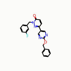 O=c1ccc(-c2cnc(OCc3ccccc3)nc2)nn1Cc1cccc(F)c1